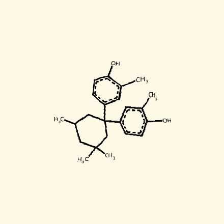 Cc1cc(C2(c3ccc(O)c(C)c3)CC(C)CC(C)(C)C2)ccc1O